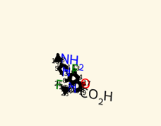 Cc1c(N2CC[C@@H](C3(N)CC3)C2)c(F)cc2c(=O)c(C(=O)O)cn([C@@H]3C[C@@H]3F)c12